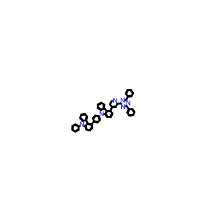 C1=C(c2cccc3c2c2ccccc2n3-c2ccc(-c3cccc4c3c3ccccc3n4-c3ccccc3)cc2)CCN=C1c1nc(-c2ccccc2)nc(-c2ccccc2)n1